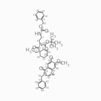 CC[C@]1(C(=O)N(CCNC(=O)OCc2ccccc2)C(=O)OC(C)(C)C)CC[C@@H](Oc2cc3c(=O)n(Cc4ccccc4)cnc3cc2OC)CC1